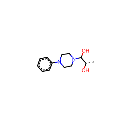 C[C@H](O)C(O)N1CCN(c2ccccc2)CC1